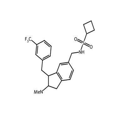 CNC1Cc2ccc(CNS(=O)(=O)C3CCC3)cc2C1Cc1cccc(C(F)(F)F)c1